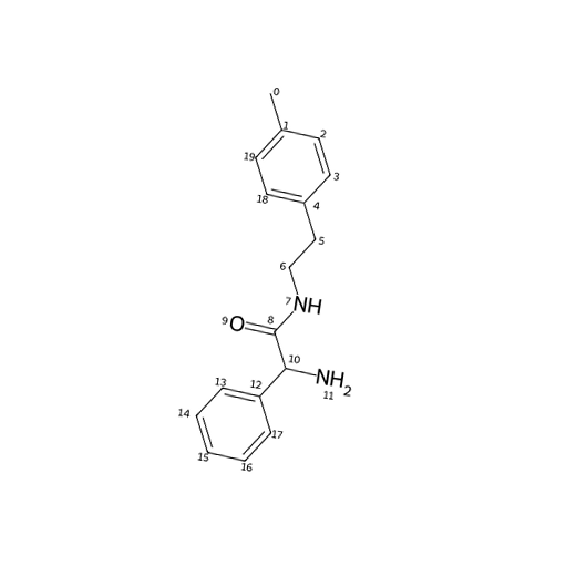 Cc1ccc(CCNC(=O)C(N)c2ccccc2)cc1